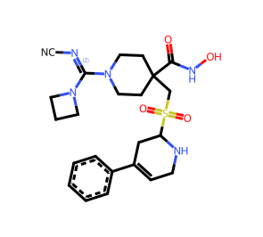 N#C/N=C(\N1CCC1)N1CCC(CS(=O)(=O)C2CC(c3ccccc3)=CCN2)(C(=O)NO)CC1